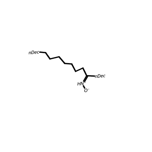 CCCCCCCCCCCCCCCCCC(CCCCCCCCCC)=[NH+][O-]